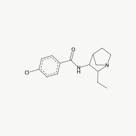 CCC1C(NC(=O)c2ccc(Cl)cc2)C2CCN1C2